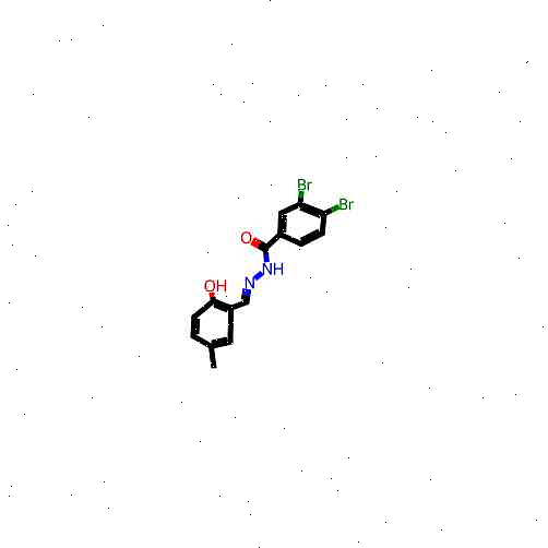 Cc1ccc(O)c(/C=N/NC(=O)c2ccc(Br)c(Br)c2)c1